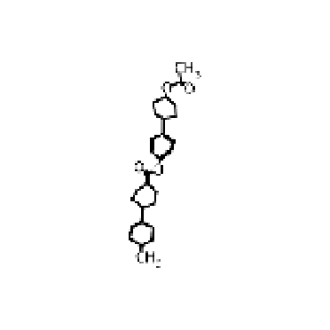 CC(=O)OC1CCC(c2ccc(OC(=O)C3CCC(C4CCC(C)CC4)CC3)cc2)CC1